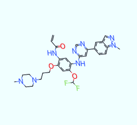 C=CC(=O)Nc1cc(Nc2cc(-c3ccc4c(cnn4C)c3)ncn2)c(OC(F)F)cc1OCCCN1CCN(C)CC1